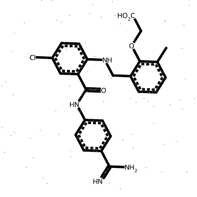 Cc1cccc(CNc2ccc(Cl)cc2C(=O)Nc2ccc(C(=N)N)cc2)c1OCC(=O)O